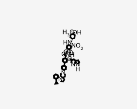 C[C@]1(O)CC[C@H](CNc2ccc(S(=O)(=O)NC(=O)c3ccc(-c4ccc(N5CCC6(CCCN6c6ccccc6C6CC6)CC5)cc4)cc3Oc3cnc4[nH]ccc4c3)cc2[N+](=O)[O-])CC1